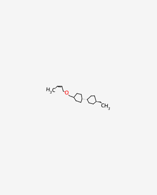 C/C=C\COCC1CCC([C@H]2CC[C@H](CC)CC2)CC1